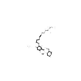 COc1cc2ncnc(N[C@H](C)c3ccccc3)c2cc1-c1ccc(C#CCCCC(=O)NO)o1